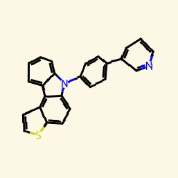 c1cncc(-c2ccc(-n3c4ccccc4c4c5ccsc5ccc43)cc2)c1